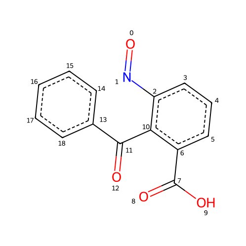 O=Nc1cccc(C(=O)O)c1C(=O)c1ccccc1